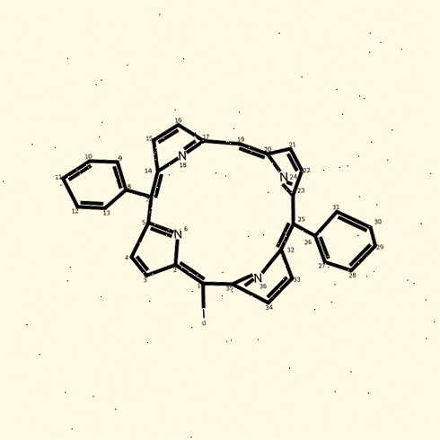 IC1=C2C=CC(=N2)C(c2ccccc2)=C2C=CC(=N2)C=C2C=CC(=N2)C(c2ccccc2)=C2C=CC1=N2